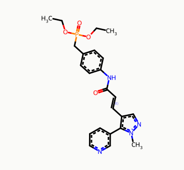 CCOP(=O)(Cc1ccc(NC(=O)/C=C/c2cnn(C)c2-c2cccnc2)cc1)OCC